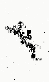 COc1ccc(COc2cn(C)c3ccc(C(=O)NCC[N+]4(CC5=C(C(=O)OC(c6ccccc6)c6ccccc6)N6C(=O)C(NC(=O)/C(=N\OC(C)(C)C(=O)OC(C)(C)C)c7csc(NC(=O)OC(C)(C)C)n7)[C@H]6SC5)CCCC4)cc3c2=O)cc1